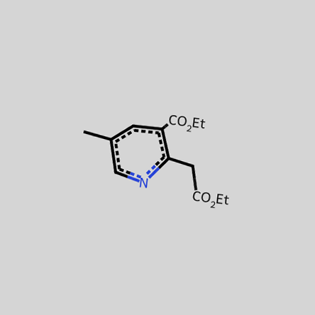 CCOC(=O)Cc1ncc(C)cc1C(=O)OCC